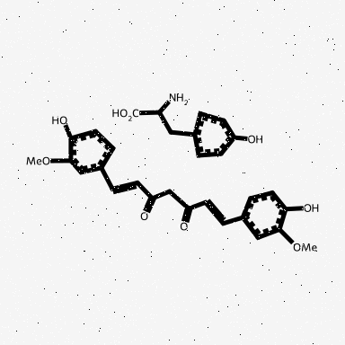 COc1cc(/C=C/C(=O)CC(=O)/C=C/c2ccc(O)c(OC)c2)ccc1O.NC(Cc1ccc(O)cc1)C(=O)O